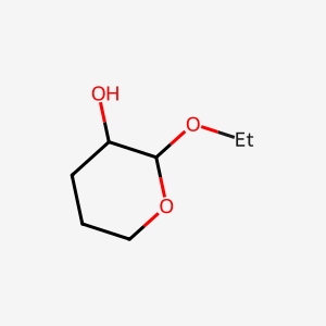 CCOC1OCCCC1O